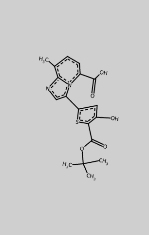 Cc1ccc(C(=O)O)n2c(-c3cc(O)c(C(=O)OC(C)(C)C)s3)cnc12